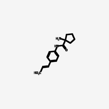 NC1(C(=O)Nc2ccc(C=CC(=O)O)cc2)CCCC1